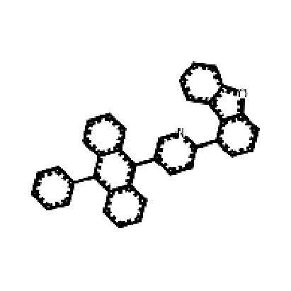 c1ccc(-c2c3ccccc3c(-c3ccc(-c4cccc5oc6ccccc6c45)nc3)c3ccccc23)cc1